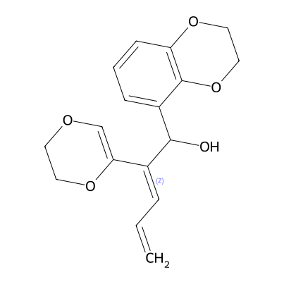 C=C/C=C(\C1=COCCO1)C(O)c1cccc2c1OCCO2